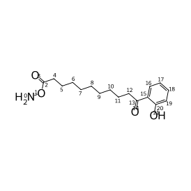 NOC(=O)CCCCCCCCCC(=O)c1ccccc1O